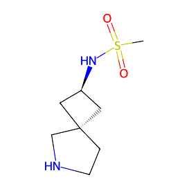 CS(=O)(=O)N[C@H]1C[C@@]2(CCNC2)C1